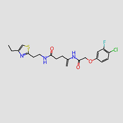 C=C(CCC(=O)NCCc1nc(CC)cs1)NC(=O)COc1ccc(Cl)c(F)c1